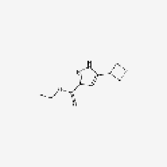 CCOC(=O)c1cc(C2CCC2)[nH]n1